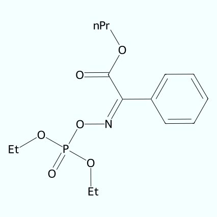 CCCOC(=O)C(=NOP(=O)(OCC)OCC)c1ccccc1